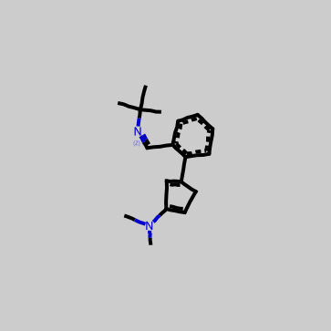 CN(C)C1=CCC(c2ccccc2/C=N\C(C)(C)C)=C1